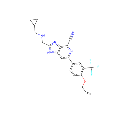 CCOc1ccc(-c2cc3[nH]c(CNCC4CC4)nc3c(C#N)n2)cc1C(F)(F)F